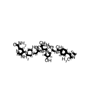 Cc1ncsc1-c1ccc(C(C)NC(=O)[C@@H]2C[C@@H](O)CN2C(=O)C(NC(=O)CN2CCN(c3cc(C(N)=O)nnc3N)CC2)C(C)(C)C)cc1